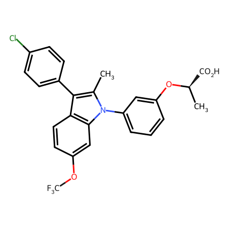 Cc1c(-c2ccc(Cl)cc2)c2ccc(OC(F)(F)F)cc2n1-c1cccc(O[C@H](C)C(=O)O)c1